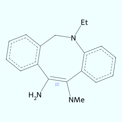 CCN1Cc2ccccc2/C(N)=C(/NC)c2ccccc21